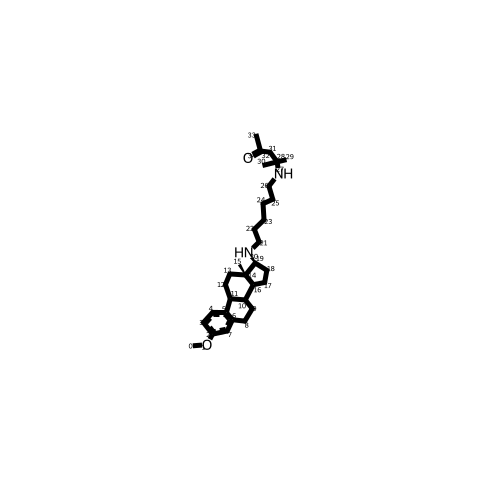 COc1ccc2c(c1)CCC1C2CC[C@@]2(C)C1CC[C@@H]2NCCCCCCNC(C)(C)CC(C)=O